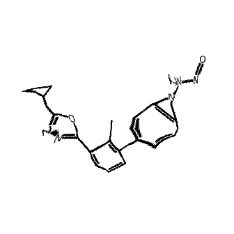 Cc1c(-c2ccc3c(c2)N3NN=O)cccc1-c1nnc(C2CC2)o1